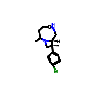 CC1CCCNC[C@@H]2N1C[C@]2(C)c1ccc(Br)cc1